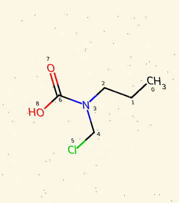 CCCN(CCl)C(=O)O